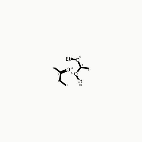 CCC(C)=O.CCOC(C)OCC